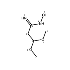 COC(CC(=N)NO)OC